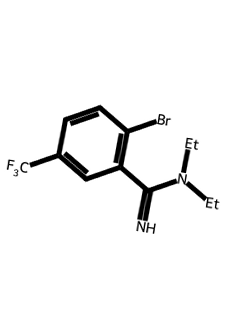 CCN(CC)C(=N)c1cc(C(F)(F)F)ccc1Br